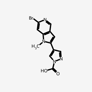 Cn1c(-c2cnn(C(=O)O)c2)cc2cnc(Br)cc21